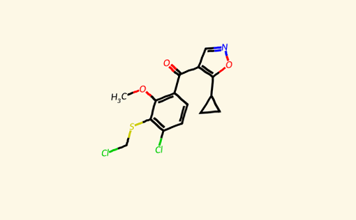 COc1c(C(=O)c2cnoc2C2CC2)ccc(Cl)c1SCCl